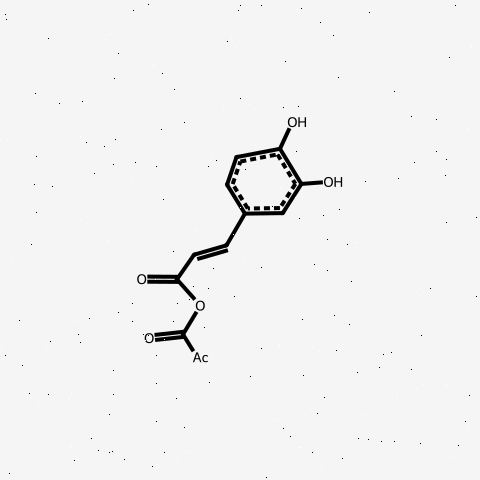 CC(=O)C(=O)OC(=O)C=Cc1ccc(O)c(O)c1